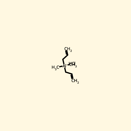 C=C[CH2][Al-]([CH3])([CH3])[CH2]C=C.Cl